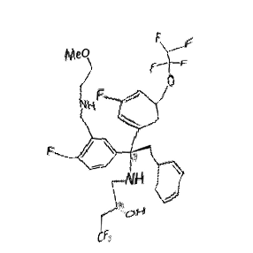 COCCNCc1cc([C@@](CC2C=CC=CC2)(NC[C@H](O)CC(F)(F)F)C2=CC(F)=CC(OC(F)(F)C(F)F)C2)ccc1F